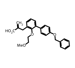 C=C(Cc1cccc(-c2ccc(OCc3ccccc3)cc2)c1OCCOC)C(=O)O